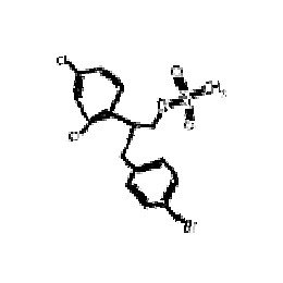 CS(=O)(=O)OCC(Cc1ccc(Br)cc1)c1ccc(Cl)cc1Cl